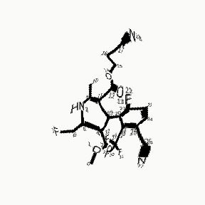 COC(=O)C1=C(CF)NC(C)=C(C(=O)OCCC#N)C1c1c(F)ccc(C#N)c1C(F)(F)F